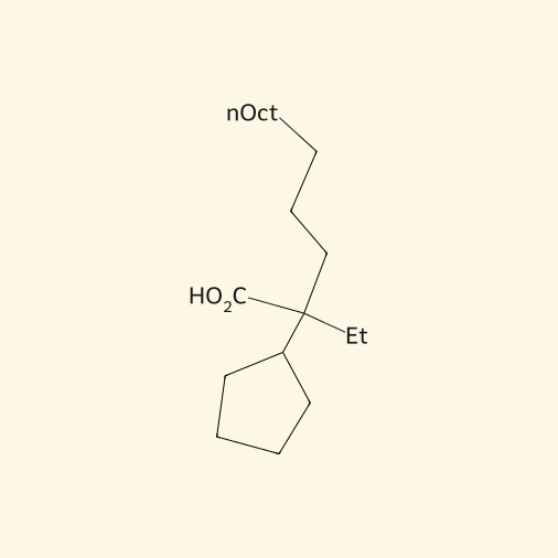 CCCCCCCCCCCC(CC)(C(=O)O)C1CCCC1